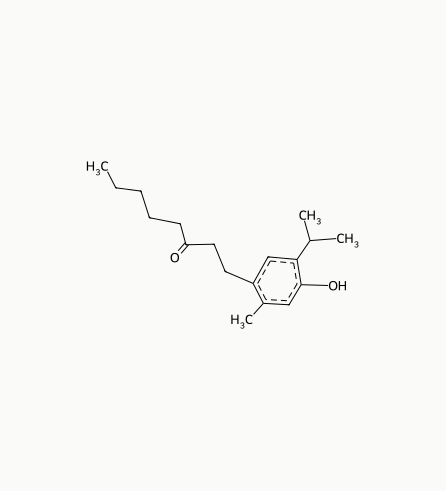 CCCCCC(=O)CCc1cc(C(C)C)c(O)cc1C